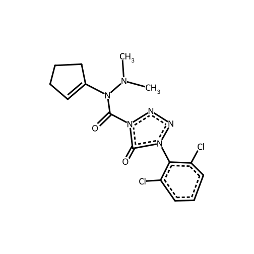 CN(C)N(C(=O)n1nnn(-c2c(Cl)cccc2Cl)c1=O)C1=CCCC1